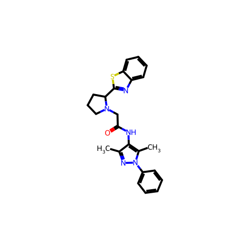 Cc1nn(-c2ccccc2)c(C)c1NC(=O)CN1CCCC1c1nc2ccccc2s1